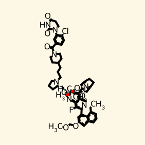 CCc1cccc2cc(OCOC)cc(-c3ncc4c(N5CC6CCC(C5)N6C(=O)OC(C)(C)C)nc(OC[C@@H]5CCCN5CCCC5CCN(C(=O)c6ccc(Cl)c(N7CCC(=O)NC7=O)c6)CC5)nc4c3F)c12